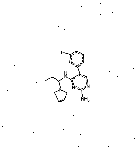 CCC(Nc1nc(N)ncc1-c1cccc(F)c1)N1CC=CC1